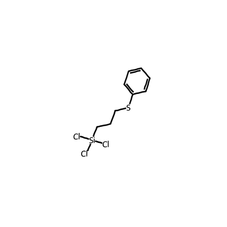 Cl[Si](Cl)(Cl)CCCSc1ccccc1